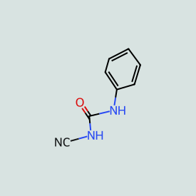 N#CNC(=O)Nc1ccccc1